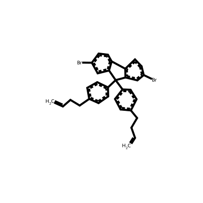 C=CCCc1ccc(C2(c3ccc(CCC=C)cc3)c3cc(Br)ccc3-c3ccc(Br)cc32)cc1